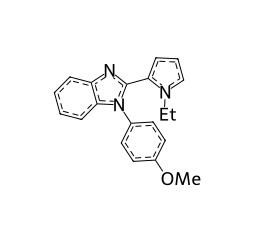 CCn1cccc1-c1nc2ccccc2n1-c1ccc(OC)cc1